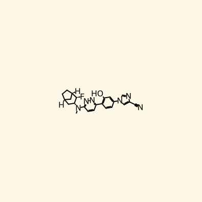 CN(c1ccc(-c2ccc(-n3cnc(C#N)c3)cc2O)nn1)[C@H]1C[C@@H]2CC[C@@H](C2)[C@H]1F